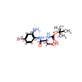 CC(C)(C)OC(=O)N[C@@H](CO)C(=O)Nc1ccc(Br)cc1N